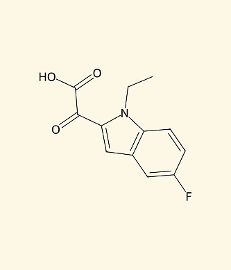 CCn1c(C(=O)C(=O)O)cc2cc(F)ccc21